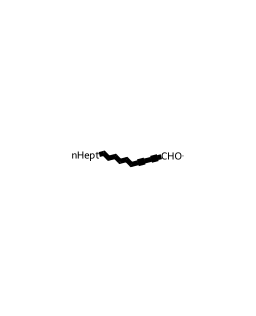 CCCCCCCCCCCCCC#CC#C[C]=O